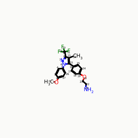 COc1ccc(-n2nc(C(F)(F)F)c(C)c2-c2ccc(OCCN)cc2)cc1